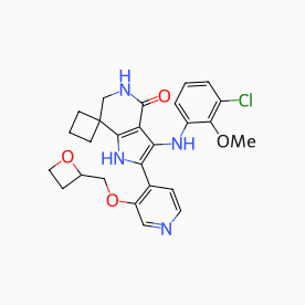 COc1c(Cl)cccc1Nc1c(-c2ccncc2OCC2CCO2)[nH]c2c1C(=O)NCC21CCC1